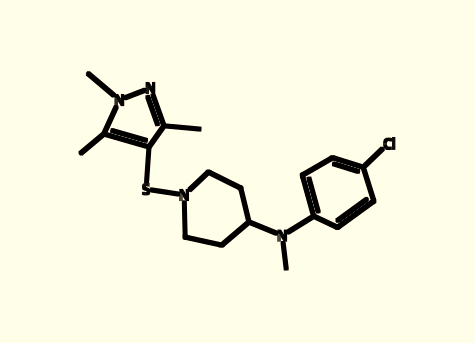 Cc1nn(C)c(C)c1SN1CCC(N(C)c2ccc(Cl)cc2)CC1